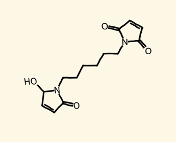 O=C1C=CC(=O)N1CCCCCCN1C(=O)C=CC1O